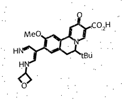 COc1cc2c(cc1/C(C=N)=C/NC1COC1)CC(C(C)(C)C)n1cc(C(=O)O)c(=O)cc1-2